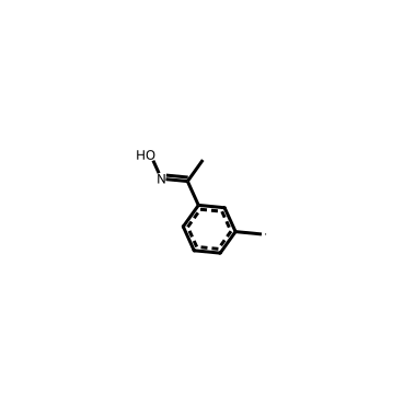 [CH2]c1cccc(C(C)=NO)c1